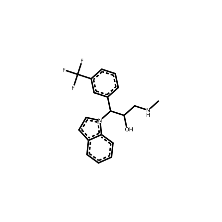 CNCC(O)C(c1cccc(C(F)(F)F)c1)n1ccc2ccccc21